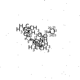 CC(C)[Si](C)(C)O[C@@H]1CC[C@H](c2cc(NC(=O)OCc3ccccc3)n(C(C)(C)C)n2)C1